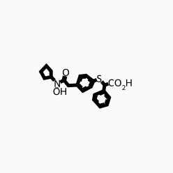 O=C(O)C(Sc1ccc(CC(=O)N(O)C2CCCC2)cc1)c1ccccc1